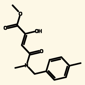 COC(=O)/C(O)=C/C(=O)N(C)Cc1ccc(C)cc1